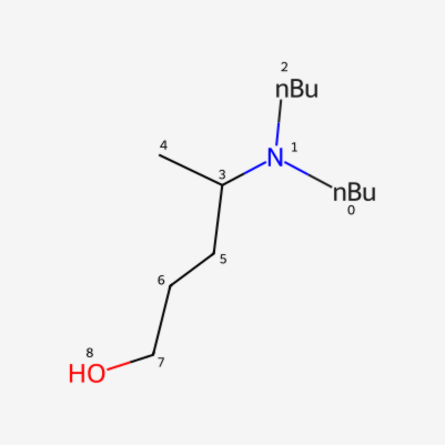 CCCCN(CCCC)C(C)CCCO